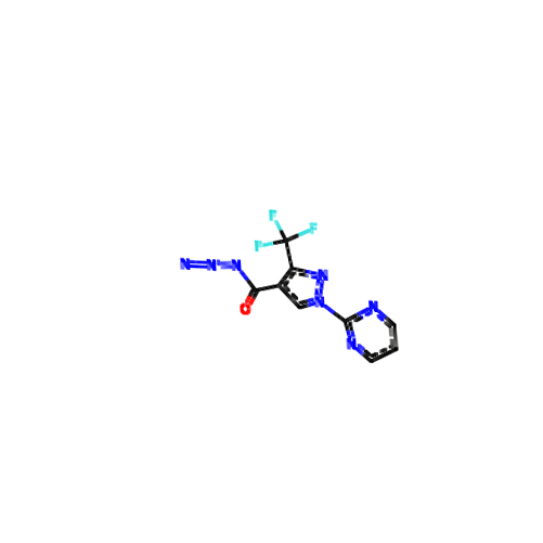 [N-]=[N+]=NC(=O)c1cn(-c2ncccn2)nc1C(F)(F)F